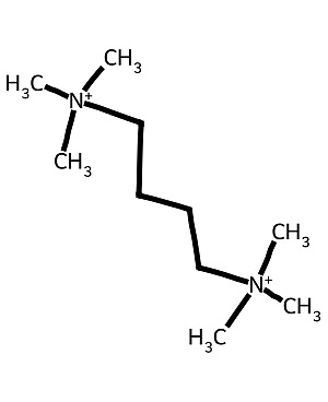 C[N+](C)(C)CCCC[N+](C)(C)C